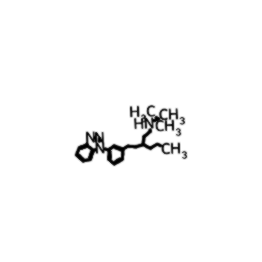 CCCC(CCNC(C)(C)C)CCc1cccc(-n2nnc3ccccc32)c1